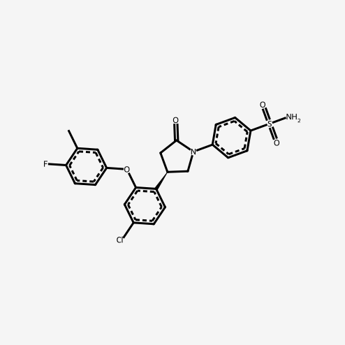 Cc1cc(Oc2cc(Cl)ccc2[C@H]2CC(=O)N(c3ccc(S(N)(=O)=O)cc3)C2)ccc1F